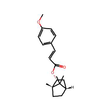 COc1ccc(/C=C/C(=O)O[C@@H]2C[C@@H]3CC[C@@]2(C)C3(C)C)cc1